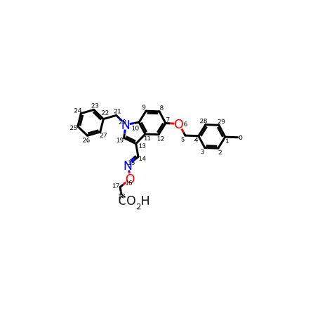 Cc1ccc(COc2ccc3c(c2)c(/C=N/OCC(=O)O)cn3Cc2ccccc2)cc1